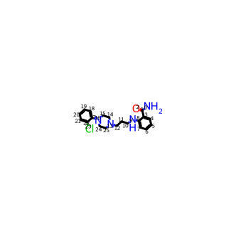 NC(=O)c1ccccc1NCCCN1CCN(c2ccccc2Cl)CC1